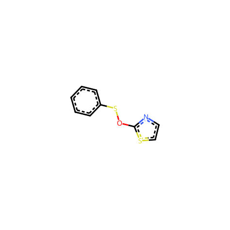 c1ccc(SOc2nccs2)cc1